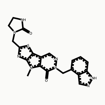 Cn1c2nc(CN3CCNC3=O)sc2c2cnn(Cc3cccc4[nH]ncc34)c(=O)c21